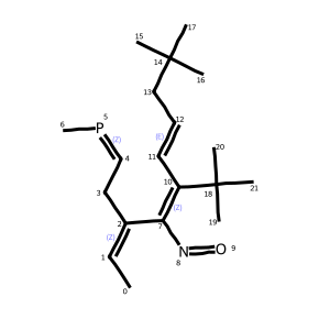 C\C=C(C/C=P\C)/C(N=O)=C(\C=C\CC(C)(C)C)C(C)(C)C